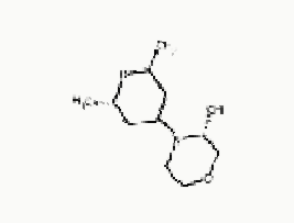 C[C@H]1CC(N2CCOC[C@H]2O)C[C@H](C)O1